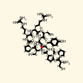 CC(C)C[C@H](NC(=O)[C@H](CCCNC(=N)N)NC(=O)[C@H](CCCNC(=N)N)NC(=O)[C@@H]1CCCN1C(=O)[C@H](CC(C)C)NC(=O)[C@H](Cc1ccc(O)cc1)NC(=O)[C@@H]1CCCN1C(=O)[C@@H]1CCCN1C(=O)[C@@H](N)CS)C(=O)N[C@@H](CS)C(=O)O